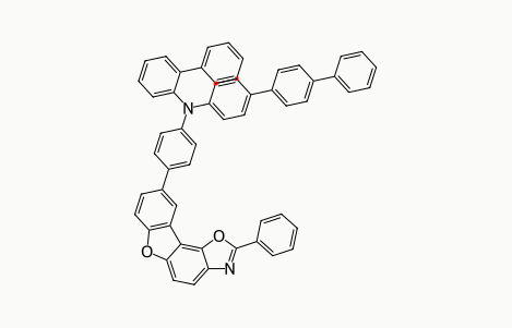 c1ccc(-c2ccc(-c3ccc(N(c4ccc(-c5ccc6oc7ccc8nc(-c9ccccc9)oc8c7c6c5)cc4)c4ccccc4-c4ccccc4)cc3)cc2)cc1